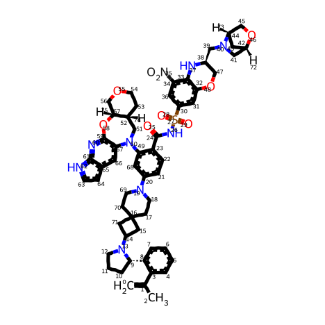 C=C(C)c1ccccc1[C@@H]1CCCN1C1CC2(CCN(c3ccc(C(=O)NS(=O)(=O)c4cc5c(c([N+](=O)[O-])c4)N[C@@H](CN4C[C@@H]6C[C@H]4CO6)CO5)c(N4C[C@H]5CCOC[C@H]5Oc5nc6[nH]ccc6cc54)c3)CC2)C1